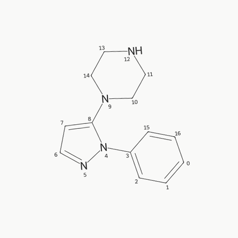 c1ccc(-n2nccc2N2CCNCC2)cc1